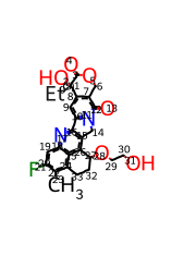 CC[C@@]1(O)C(=O)OCc2c1cc1n(c2=O)Cc2c-1nc1cc(F)c(C)c3c1c2C(OCCO)CC3